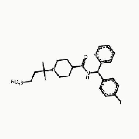 CC(C)(CCS(=O)(=O)O)N1CCC(C(=O)NC(c2ccc(F)cc2)c2ccccn2)CC1